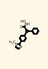 Cn1ccnc1-c1ccc(C2C(C(=O)NO)C2c2ccccc2)cc1